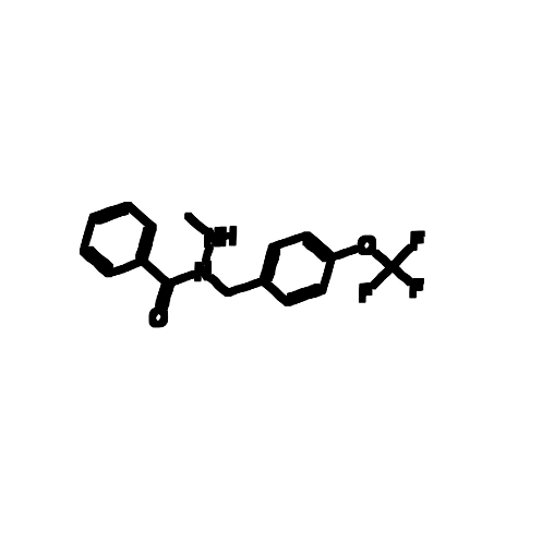 CNN(Cc1ccc(OC(F)(F)F)cc1)C(=O)c1ccccc1